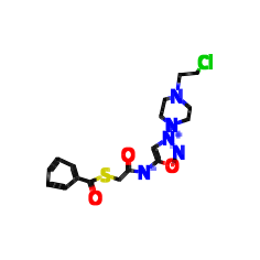 O=C(CSC(=O)c1ccccc1)[N-]c1c[n+](N2CCN(CCCl)CC2)no1